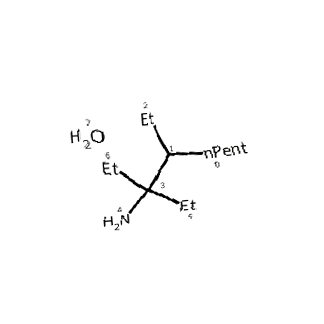 CCCCCC(CC)C(N)(CC)CC.O